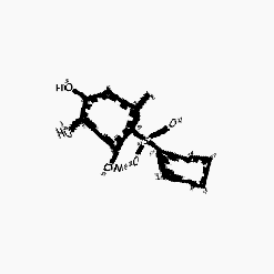 COc1c(O)c(O)cc(C)c1S(=O)(=O)c1ccccc1